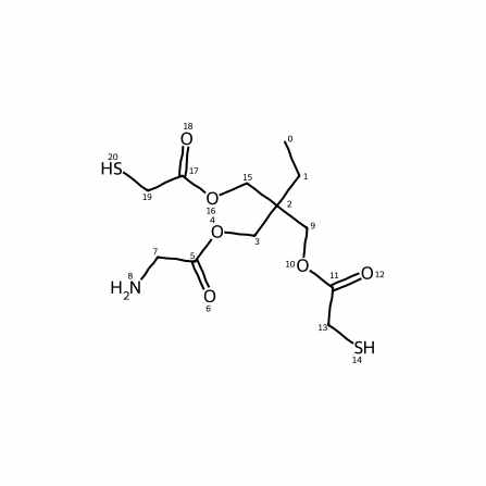 CCC(COC(=O)CN)(COC(=O)CS)COC(=O)CS